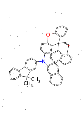 CC1(C)c2ccccc2-c2ccc(N(c3ccc4c(c3)C3(c5ccccc5O4)c4ccccc4-c4cccc5cccc3c45)c3ccc4ccccc4c3)cc21